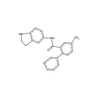 Cc1ccc(-c2ccccc2)c(C(=O)Nc2ccc3c(c2)CCN3)c1